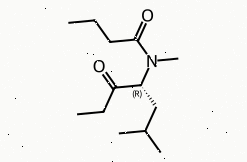 CCCC(=O)N(C)[C@H](CC(C)C)C(=O)CC